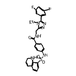 CCn1c(CNC(=O)c2ccc(NS(=O)(=O)c3cccc4c3NCC=C4)cc2)nnc1-c1cc(F)cc(F)c1